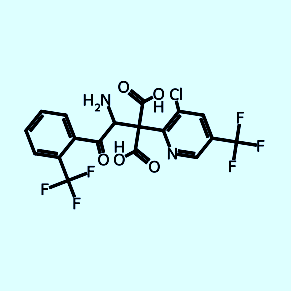 NC(C(=O)c1ccccc1C(F)(F)F)C(C(=O)O)(C(=O)O)c1ncc(C(F)(F)F)cc1Cl